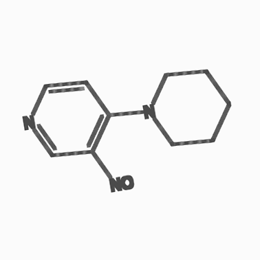 O=Nc1cnccc1N1CCCCC1